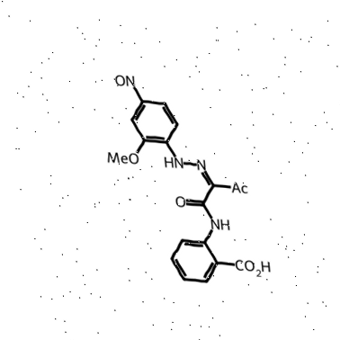 COc1cc(N=O)ccc1N/N=C(/C(C)=O)C(=O)Nc1ccccc1C(=O)O